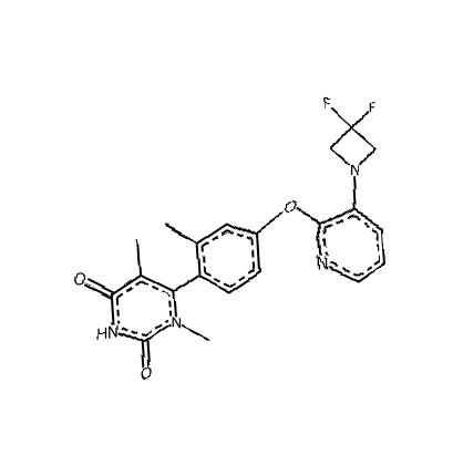 Cc1cc(Oc2ncccc2N2CC(F)(F)C2)ccc1-c1c(C)c(=O)[nH]c(=O)n1C